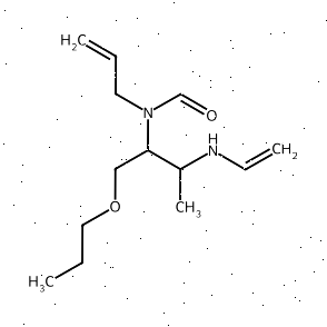 C=CCN(C=O)C(COCCC)C(C)NC=C